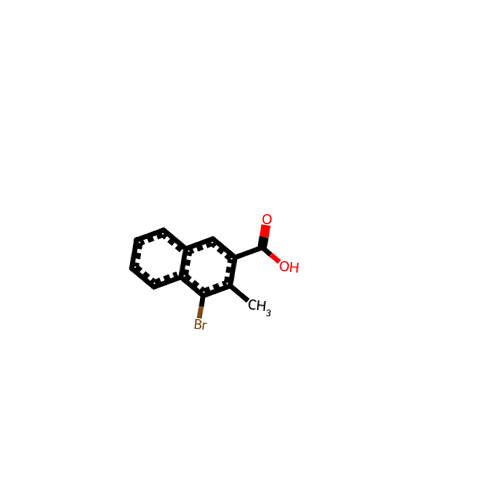 Cc1c(C(=O)O)cc2ccccc2c1Br